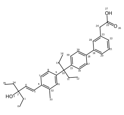 CCC(O)(C=Cc1ccc(C(CC)(CC)c2ccc(-c3cccc(CC(=O)O)c3)cc2)cc1C)CC